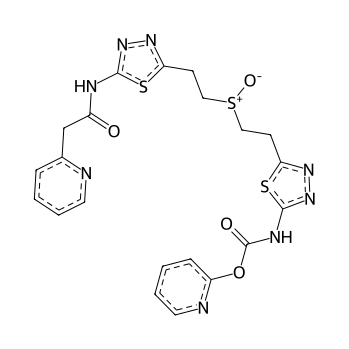 O=C(Cc1ccccn1)Nc1nnc(CC[S+]([O-])CCc2nnc(NC(=O)Oc3ccccn3)s2)s1